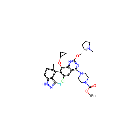 Cc1ccc2[nH]nc(F)c2c1-c1c(Cl)cc2c(N3CCN(C(=O)OC(C)(C)C)CC3)nc(OC[C@@H]3CCCN3C)nc2c1OC1CC1